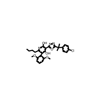 CCCCc1nc(O)c(-c2nnc(C(C)(C)c3ccc(Cl)cc3)o2)c(O)c1-c1c(OC)cccc1OC